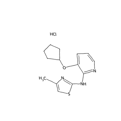 Cc1csc(Nc2ncccc2OC2CCCC2)n1.Cl